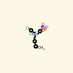 Cc1cccc(-c2ccc(C=Cc3nc(-c4ccc(Cl)cc4Cl)cn3Cc3ccc(N4CC(=O)NS4(=O)=O)cc3)cc2)c1